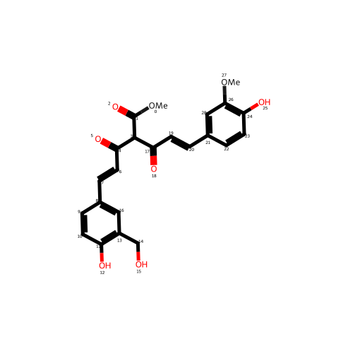 COC(=O)C(C(=O)/C=C/c1ccc(O)c(CO)c1)C(=O)/C=C/c1ccc(O)c(OC)c1